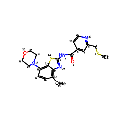 CCSCc1cc(C(=O)Nc2nc3c(OC)ccc(N4CCOCC4)c3s2)ccn1